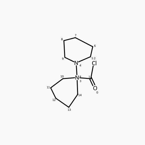 O=C(Cl)[N+]1(N2CCCCC2)CCCCC1